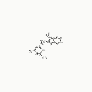 Cc1nc(Cl)cc([C@@H]2CC2c2nc3ccccc3n2C)n1